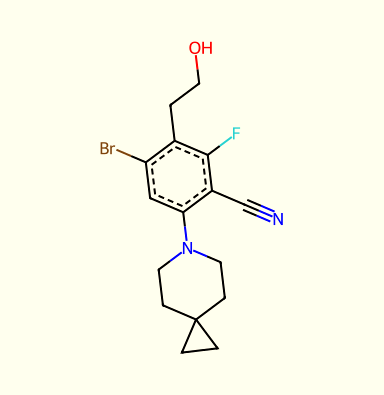 N#Cc1c(N2CCC3(CC2)CC3)cc(Br)c(CCO)c1F